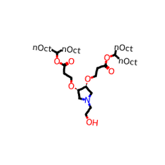 CCCCCCCCC(CCCCCCCC)OC(=O)CCO[C@H]1CN(CCO)C[C@H]1OCCC(=O)OC(CCCCCCCC)CCCCCCCC